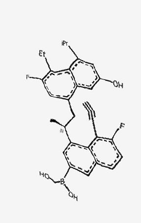 C#Cc1c(F)ccc2cc(B(O)O)cc([C@@H](C)Cc3cc(F)c(CC)c4c(C(C)C)cc(O)cc34)c12